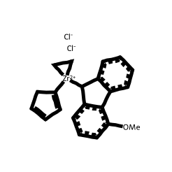 COc1cccc2c1-c1ccccc1[CH]2[Zr+2]1([C]2=CC=CC2)[CH2][CH2]1.[Cl-].[Cl-]